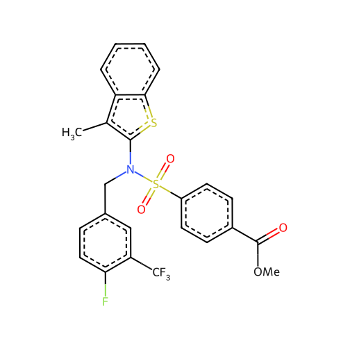 COC(=O)c1ccc(S(=O)(=O)N(Cc2ccc(F)c(C(F)(F)F)c2)c2sc3ccccc3c2C)cc1